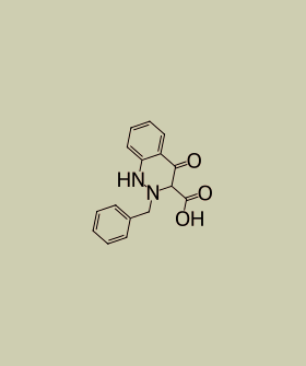 O=C(O)C1C(=O)c2ccccc2NN1Cc1ccccc1